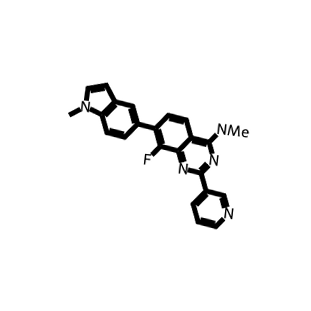 CNc1nc(-c2cccnc2)nc2c(F)c(-c3ccc4c(ccn4C)c3)ccc12